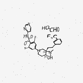 CN(C)[C@@]1(CCc2cccc(C(F)(F)F)c2)CN(c2cc(F)c(S(=O)(=O)Nc3ccncn3)c(F)c2)CC[C@@H]1O.O=CO